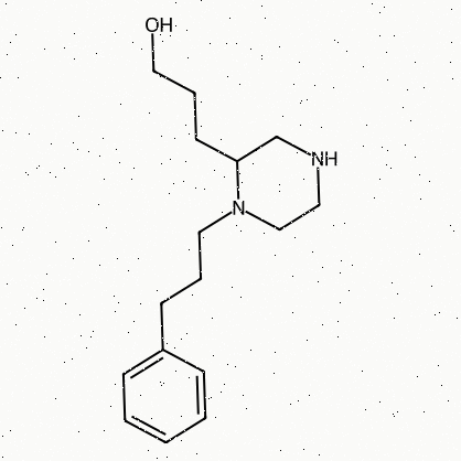 OCCCC1CNCCN1CCCc1ccccc1